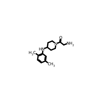 Cc1ccc(C)c(NC2CCN(C(=O)CN)CC2)c1